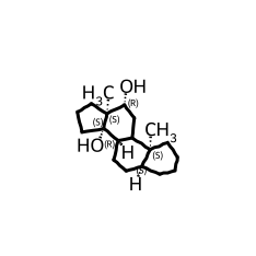 C[C@@]12CCC[C@]1(O)[C@@H]1CC[C@@H]3CCCC[C@]3(C)C1C[C@H]2O